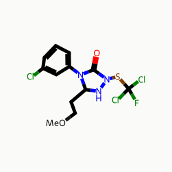 COCCC1NN(SC(F)(Cl)Cl)C(=O)N1c1cccc(Cl)c1